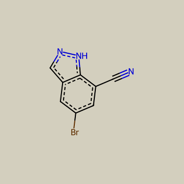 N#Cc1cc(Br)cc2cn[nH]c12